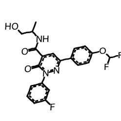 CC(CO)NC(=O)c1cc(-c2ccc(OC(F)F)cc2)nn(-c2cccc(F)c2)c1=O